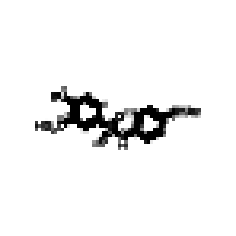 CC(=O)Nc1ccc(NS(=O)(=O)c2ccc(O)c(C(=O)O)c2)cc1